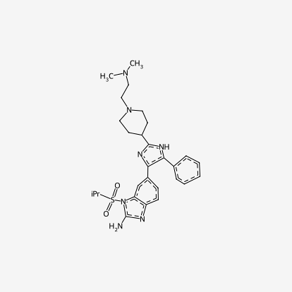 CC(C)S(=O)(=O)n1c(N)nc2ccc(-c3nc(C4CCN(CCN(C)C)CC4)[nH]c3-c3ccccc3)cc21